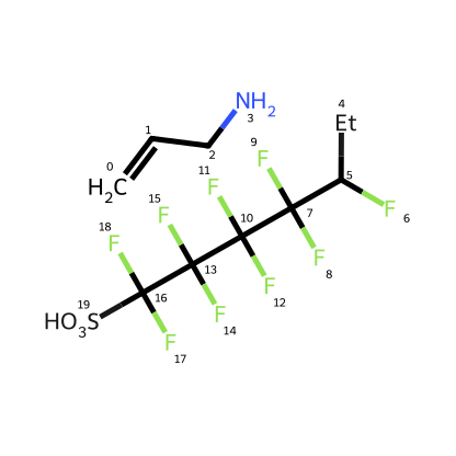 C=CCN.CCC(F)C(F)(F)C(F)(F)C(F)(F)C(F)(F)S(=O)(=O)O